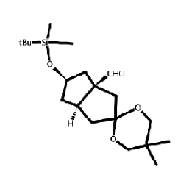 CC1(C)COC2(C[C@H]3C[C@@H](O[Si](C)(C)C(C)(C)C)C[C@]3(C=O)C2)OC1